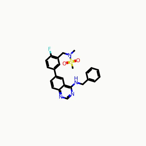 CN(Cc1cc(-c2ccc3ncnc(NCc4ccccc4)c3c2)ccc1F)S(C)(=O)=O